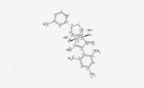 Cc1ccnc([C@@H]2C[C@@H]3O[C@H]2[C@H]2C(O)=C(c4c(C)cc(C)cc4C)C(=O)[C@H]23)c1